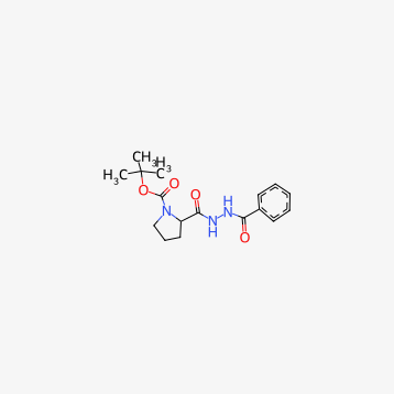 CC(C)(C)OC(=O)N1CCCC1C(=O)NNC(=O)c1ccccc1